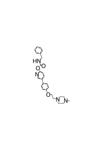 CN1CCN(CCOc2ccc(-c3ccc(OC(=O)NCc4ccccc4)nc3)cc2)CC1